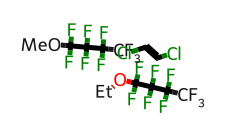 CCOC(F)(F)C(F)(F)C(F)(F)C(F)(F)F.COC(F)(F)C(F)(F)C(F)(F)C(F)(F)F.Cl/C=C/Cl